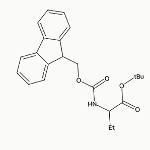 CCC(NC(=O)OCC1c2ccccc2-c2ccccc21)C(=O)OC(C)(C)C